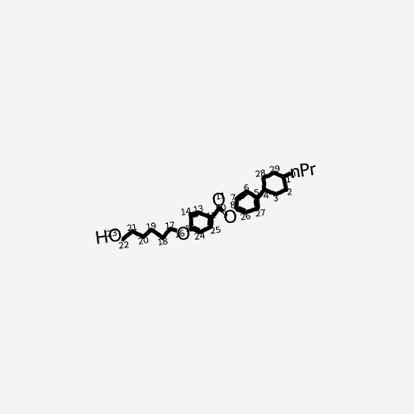 CCCC1CCC(c2ccc(OC(=O)c3ccc(OCCCCCCO)cc3)cc2)CC1